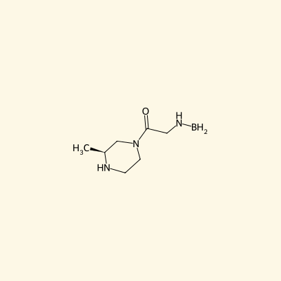 BNCC(=O)N1CCN[C@@H](C)C1